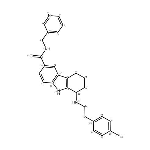 O=C(NCc1cccnc1)c1ccc2[nH]c3c(c2c1)CCCC3NCCc1ccc(F)cc1